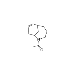 CC(=O)N1CCCC2C=CCC1C2